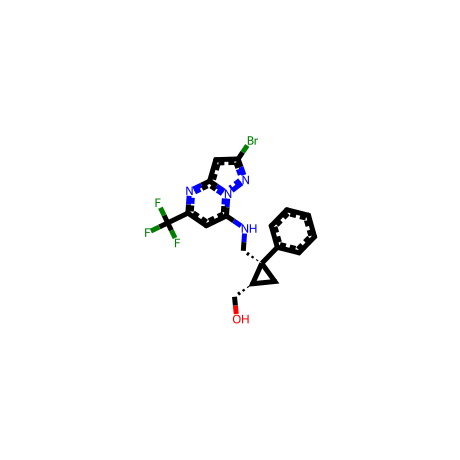 OC[C@H]1C[C@]1(CNc1cc(C(F)(F)F)nc2cc(Br)nn12)c1ccccc1